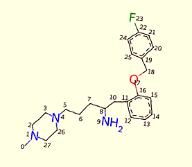 CN1CCN(CCCC(N)Cc2ccccc2OCc2ccc(F)cc2)CC1